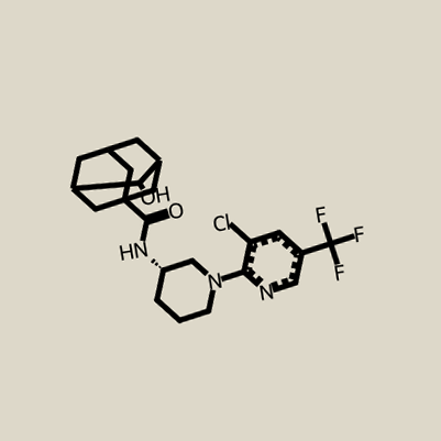 O=C(N[C@H]1CCCN(c2ncc(C(F)(F)F)cc2Cl)C1)C12CC3CC(C1)C(O)C(C3)C2